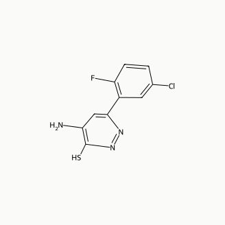 Nc1cc(-c2cc(Cl)ccc2F)nnc1S